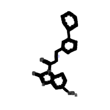 O=C(/C=C/c1cccc(-c2ccccc2)c1)n1c(=O)sc2cc([N+](=O)[O-])ccc21